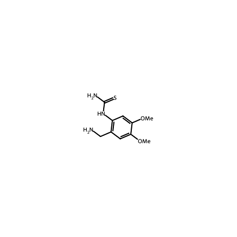 COc1cc(CN)c(NC(N)=S)cc1OC